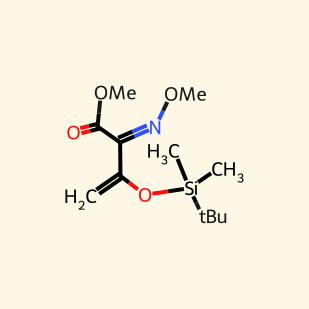 C=C(O[Si](C)(C)C(C)(C)C)C(=NOC)C(=O)OC